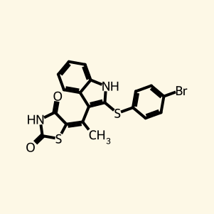 CC(=C1SC(=O)NC1=O)c1c(Sc2ccc(Br)cc2)[nH]c2ccccc12